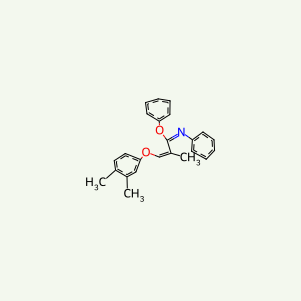 CC(=COc1ccc(C)c(C)c1)C(=Nc1ccccc1)Oc1ccccc1